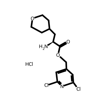 Cl.N[C@@H](CC1CCOCC1)C(=O)OCc1cc(Cl)nc(Cl)c1